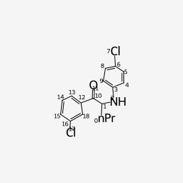 CCCC(Nc1ccc(Cl)cc1)C(=O)c1cccc(Cl)c1